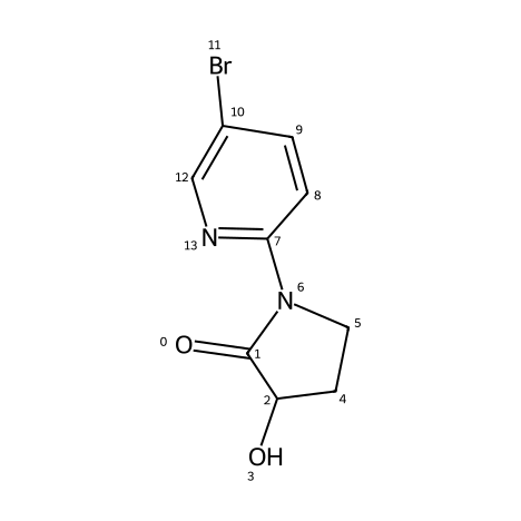 O=C1C(O)CCN1c1ccc(Br)cn1